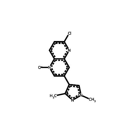 Cc1nn(C)cc1-c1cc2nc(Cl)ccc2[n+]([O-])c1